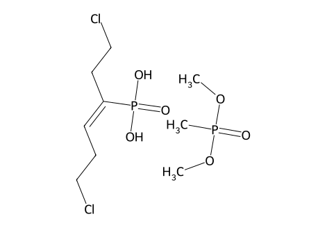 COP(C)(=O)OC.O=P(O)(O)C(=CCCCl)CCCl